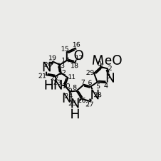 COc1cncc(-c2cc3c(-c4cc5c(-c6ccoc6)cncc5[nH]4)n[nH]c3cn2)c1